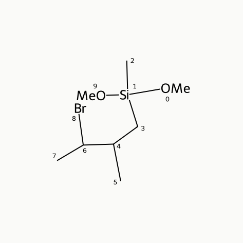 CO[Si](C)(CC(C)C(C)Br)OC